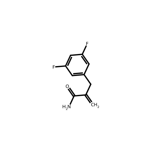 C=C(Cc1cc(F)cc(F)c1)C(N)=O